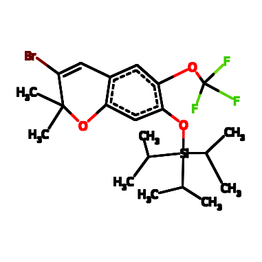 CC(C)[Si](Oc1cc2c(cc1OC(F)(F)F)C=C(Br)C(C)(C)O2)(C(C)C)C(C)C